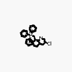 Clc1cnc2c(C[PH](c3ccccc3)(c3ccccc3)c3ccccc3)c(Cl)ccc2c1